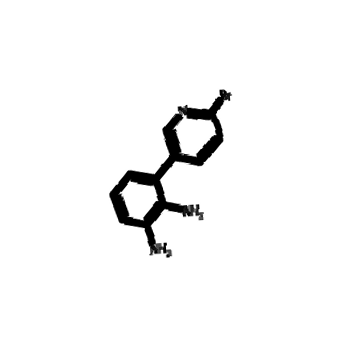 Nc1cccc(-c2ccc(Br)nc2)c1N